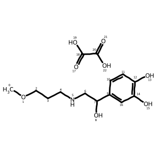 COCCCNCC(O)c1ccc(O)c(O)c1.O=C(O)C(=O)O